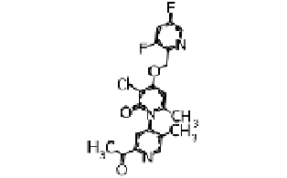 CC(=O)c1cc(-n2c(C)cc(OCc3ncc(F)cc3F)c(Cl)c2=O)c(C)cn1